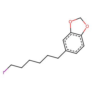 ICCCCCCc1ccc2c(c1)OCO2